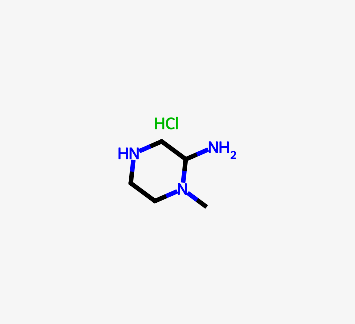 CN1CCNCC1N.Cl